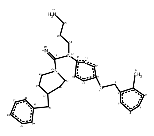 Cc1ccccc1COc1ccc(N(CCCN)C(=N)N2CCC(Cc3ccccc3)CC2)cc1